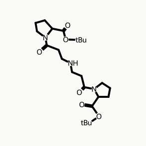 CC(C)(C)OC(=O)C1CCCN1C(=O)CCNCCC(=O)N1CCCC1C(=O)OC(C)(C)C